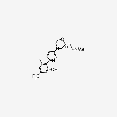 CNCC[C@@H]1CN(c2ccc(-c3c(C)cc(C(F)(F)F)cc3O)nn2)CCO1